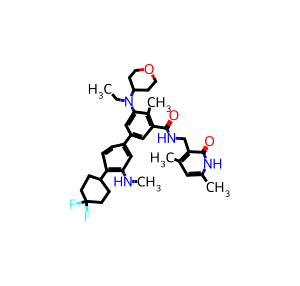 CCN(c1cc(-c2ccc(C3CCC(F)(F)CC3)c(NC)c2)cc(C(=O)NCc2c(C)cc(C)[nH]c2=O)c1C)C1CCOCC1